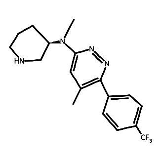 Cc1cc(N(C)[C@@H]2CCCNC2)nnc1-c1ccc(C(F)(F)F)cc1